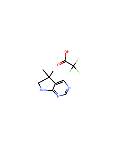 CC1(C)CNc2ncncc21.O=C(O)C(F)(F)F